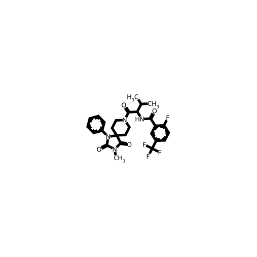 CC(C)C(NC(=O)c1cc(C(F)(F)F)ccc1F)C(=O)N1CCC2(CC1)C(=O)N(C)C(=O)N2c1ccccc1